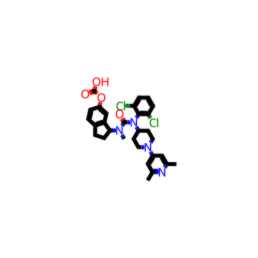 Cc1cc(N2CCC(N(C(=O)N(C)C3CCc4ccc(OC(=O)O)cc43)c3c(Cl)cccc3Cl)CC2)cc(C)n1